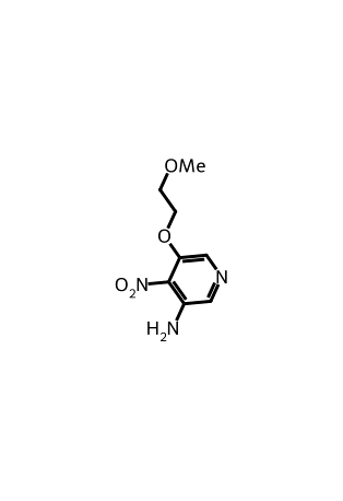 COCCOc1cncc(N)c1[N+](=O)[O-]